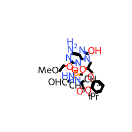 COCCOc1nc(N)c2nc(O)n(CC(COc3ccccc3)OCP(=O)(NC(C)C=O)NC(C)C(=O)OC(C)C)c2n1